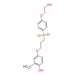 O=C(O)c1cc(OCCCS(=O)(=O)c2ccc(OCCO)cc2)ccc1O